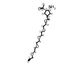 C#CCOCCOCCOCCOCCO/N=C1/C[C@@H](N)[C@H](C(C)=O)C1